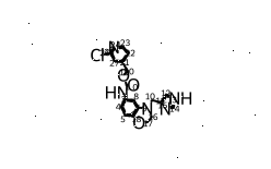 O=C(Nc1ccc2c(c1)N(Cc1c[nH]cn1)CCO2)OCc1ccnc(Cl)c1